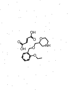 CCOc1ccccc1COCC1CNCCO1.O=C(O)C=CC(=O)O